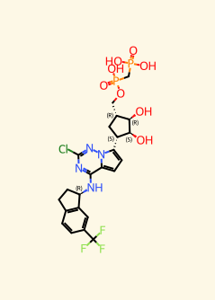 O=P(O)(O)CP(=O)(O)OC[C@H]1C[C@@H](c2ccc3c(N[C@@H]4CCc5ccc(C(F)(F)F)cc54)nc(Cl)nn23)[C@H](O)[C@@H]1O